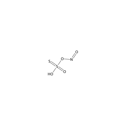 O=NOS(=O)(O)=S